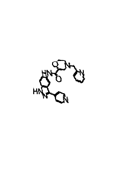 O=C(Nc1ccc2[nH]nc(-c3ccncc3)c2c1)C1CN(Cc2ccccn2)CCO1